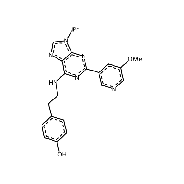 COc1cncc(-c2nc(NCCc3ccc(O)cc3)c3ncn(C(C)C)c3n2)c1